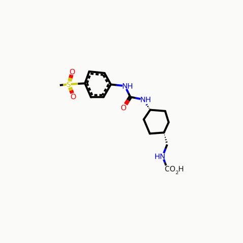 CS(=O)(=O)c1ccc(NC(=O)N[C@H]2CC[C@@H](CNC(=O)O)CC2)cc1